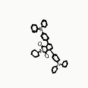 O=C1C2C(c3ccc(N(c4ccccc4)c4ccccc4)cc3)=CC=C(c3ccc(N(c4ccccc4)c4ccccc4)cc3)C2C(=O)N1C1CCCCC1